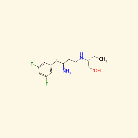 CC[C@H](CO)NCC[C@@H](N)[CH]c1cc(F)cc(F)c1